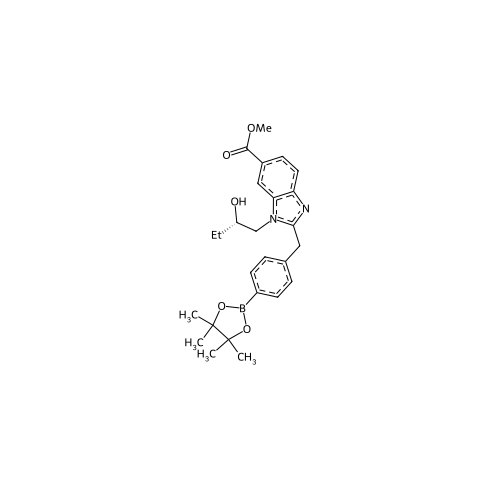 CC[C@H](O)Cn1c(Cc2ccc(B3OC(C)(C)C(C)(C)O3)cc2)nc2ccc(C(=O)OC)cc21